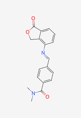 CN(C)C(=O)c1ccc(C=Nc2cccc3c2COC3=O)cc1